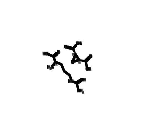 N=C(N)NCCC[C@@H](N)C(=O)O.O=C(O)[C@H]1O[C@@H]1C(=O)O